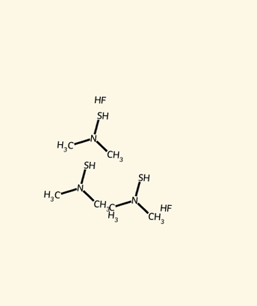 CN(C)S.CN(C)S.CN(C)S.F.F